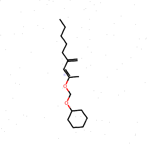 C=C(/C=C(\C)OCOC1CCCCC1)CCCCC